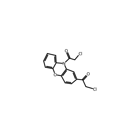 O=C(CCl)c1ccc2c(c1)N(C(=O)CCl)c1ccccc1O2